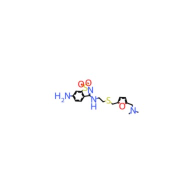 CN(C)Cc1ccc(CSCCNC2=NS(=O)(=O)c3cc(N)ccc32)o1